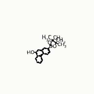 CC1(C)OB(c2ccc3c(c2)cc(O)c2ccccc23)OC1(C)C